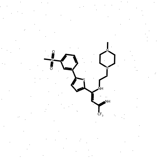 CN1CCN(CCN/C(=C\C(=N)C(F)(F)F)c2ccc(-c3cccc(S(C)(=O)=O)c3)s2)CC1